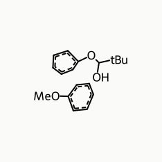 CC(C)(C)C(O)Oc1ccccc1.COc1ccccc1